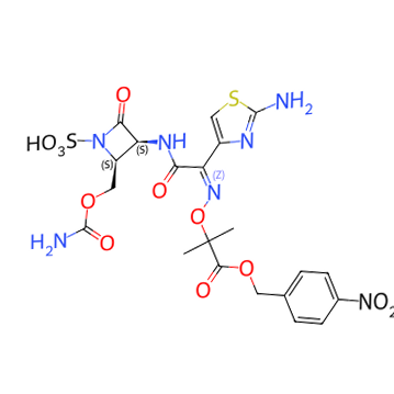 CC(C)(O/N=C(\C(=O)N[C@@H]1C(=O)N(S(=O)(=O)O)[C@@H]1COC(N)=O)c1csc(N)n1)C(=O)OCc1ccc([N+](=O)[O-])cc1